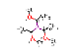 CCOC(C)P(C(C)OCC)C(C)OCC